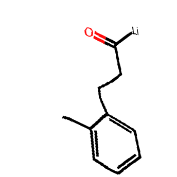 [Li][C](=O)CCc1ccccc1C